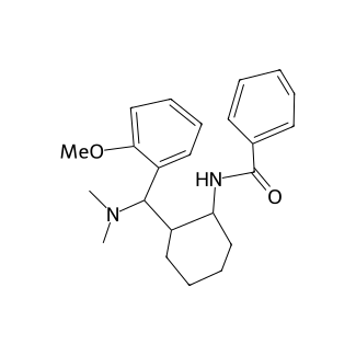 COc1ccccc1C(C1CCCCC1NC(=O)c1ccccc1)N(C)C